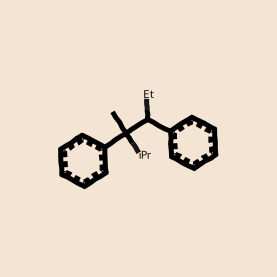 CCC(c1ccccc1)C(C)(c1ccccc1)C(C)C